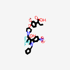 CCC(C(=O)O)c1ccc(OC2CCN(CC(O)(c3cn(Cc4ccccc4)c4cc([N+](=O)[O-])ccc34)C(F)(F)F)CC2)c(OC)c1